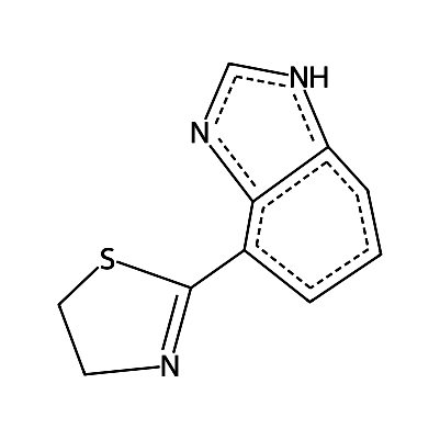 c1cc(C2=NCCS2)c2nc[nH]c2c1